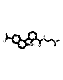 CC(=O)c1ccc2c(ccc3[nH]c4c(C(=O)NCCN(C)C)cccc4c32)c1